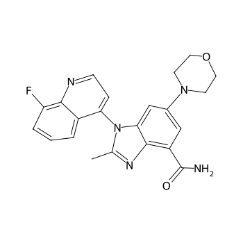 Cc1nc2c(C(N)=O)cc(N3CCOCC3)cc2n1-c1ccnc2c(F)cccc12